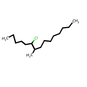 CCCCCCCCC(C)C(Cl)CCCCC